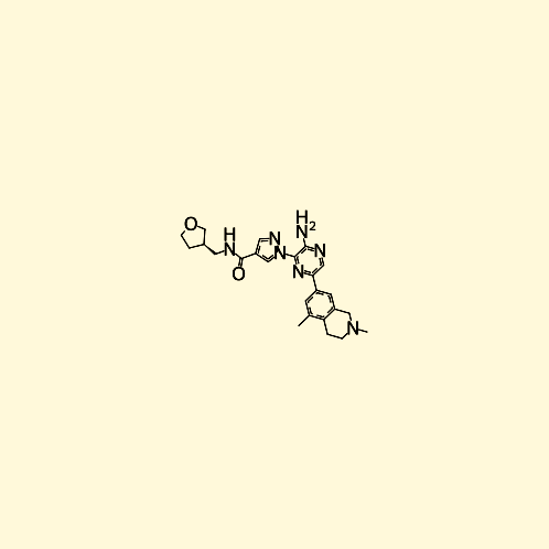 Cc1cc(-c2cnc(N)c(-n3cc(C(=O)NC[C@H]4CCOC4)cn3)n2)cc2c1CCN(C)C2